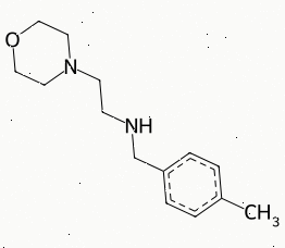 Cc1ccc(CNCCN2CCOCC2)cc1